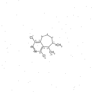 CC1CCCc2c(Cl)nnc(Cl)c2C1C